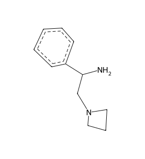 NC(CN1CCC1)c1ccccc1